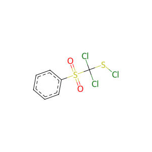 O=S(=O)(c1ccccc1)C(Cl)(Cl)SCl